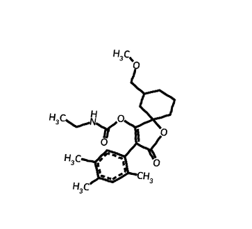 CCNC(=O)OC1=C(c2cc(C)c(C)cc2C)C(=O)OC12CCCC(COC)C2